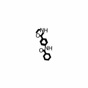 O=C(Nc1ccc(C2CNCCO2)cc1)C1CCCCC1